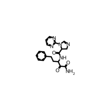 NC(=O)C(=O)C(CCc1ccccc1)NC(=O)C1CN=CN1c1ncccn1